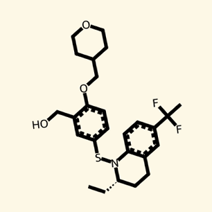 CC[C@H]1CCc2cc(C(C)(F)F)ccc2N1Sc1ccc(OCC2CCOCC2)c(CO)c1